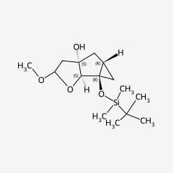 COC1C[C@@]2(O)C[C@@H]3C[C@]3(O[Si](C)(C)C(C)(C)C)[C@H]2O1